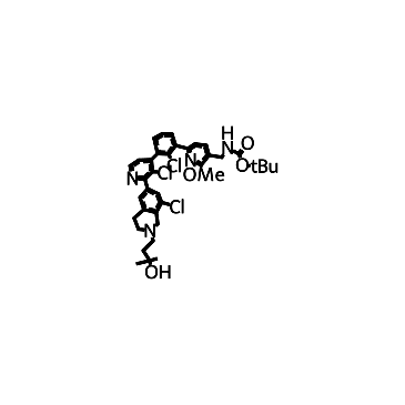 COc1nc(-c2cccc(-c3ccnc(-c4cc(Cl)c5c(c4)CCN(CCC(C)(C)O)C5)c3Cl)c2Cl)ccc1CNC(=O)OC(C)(C)C